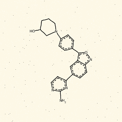 Nc1nccc(-c2ccc3noc(-c4ccc(N5CCCC(O)C5)cc4)c3c2)n1